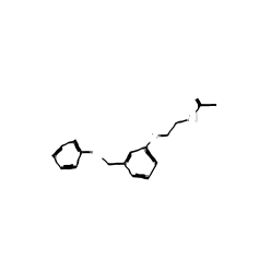 CC(=O)NCCNc1c[c]cc(COc2ccccc2)c1